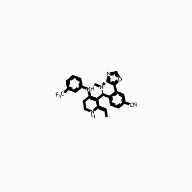 CC=C1NCCC(Nc2cccc(C(F)(F)F)c2)=C1[C@@H](c1ccc(C#N)cc1-c1cnco1)N(C)C